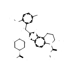 COC(=O)N1c2ccc3c(nc([C@H](O)c4cc(F)ccc4OC)n3[C@H]3CCC[C@H](C(=O)O)C3)c2CC[C@@H]1C